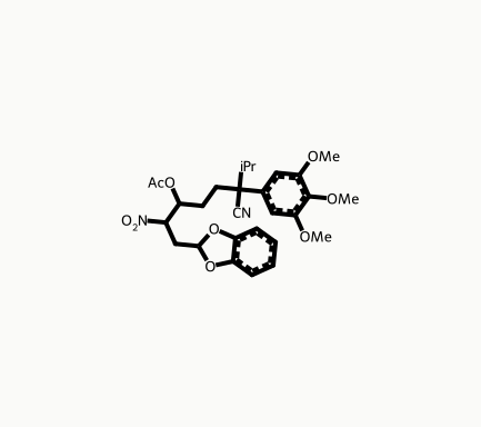 COc1cc(C(C#N)(CCC(OC(C)=O)C(CC2Oc3ccccc3O2)[N+](=O)[O-])C(C)C)cc(OC)c1OC